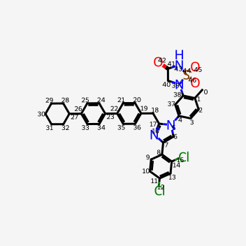 Cc1ccc(-n2cc(-c3ccc(Cl)cc3Cl)nc2Cc2ccc(-c3ccc(C4CCCCC4)cc3)cc2)cc1N1CC(=O)NS1(=O)=O